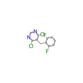 Fc1cccc(F)c1Cc1c(Cl)ncnc1Cl